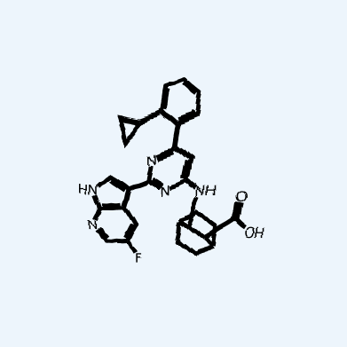 O=C(O)C1C2CCC(CC2)C1Nc1cc(-c2ccccc2C2CC2)nc(-c2c[nH]c3ncc(F)cc23)n1